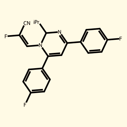 CC(C)C1N=C(c2ccc(F)cc2)C=C(c2ccc(F)cc2)N1/C=C(/F)C#N